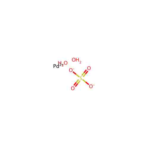 O.O.O=S(=O)([O-])[O-].[Pd+2]